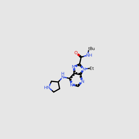 CCn1c(C(=O)NC(C)(C)C)nc2c(NC3CCNC3)ncnc21